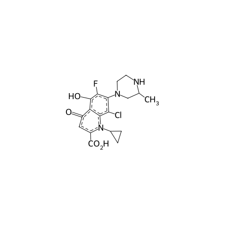 CC1CN(c2c(F)c(O)c3c(=O)cc(C(=O)O)n(C4CC4)c3c2Cl)CCN1